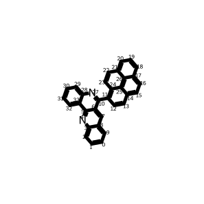 c1ccc2nc3c(cc2c1)c(-c1ccc2ccc4cccc5ccc1c2c45)nc1ccccc13